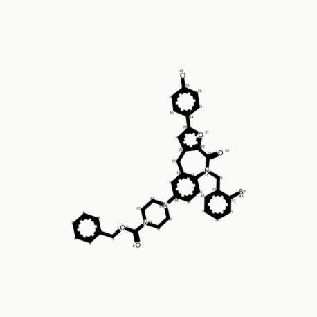 O=C(OCc1ccccc1)N1CCN(c2ccc3c(c2)Cc2cc(-c4ccc(Cl)cc4)oc2C(=O)N3Cc2ccccc2Br)CC1